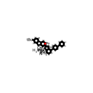 CCCC1=Cc2c(-c3ccc(-c4ccccc4)cc3)cccc2[CH]1[Zr]([Cl])([Cl])([c]1c(C(C)(C)C)ccc2c1Cc1cc(C(C)(C)C)ccc1-2)[SiH](C)C